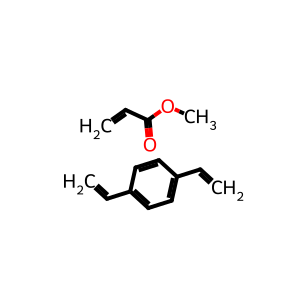 C=CC(=O)OC.C=Cc1ccc(C=C)cc1